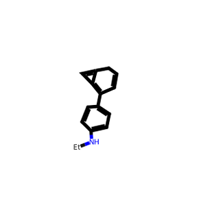 CCNc1ccc(C2=C3C=C3CC=C2)cc1